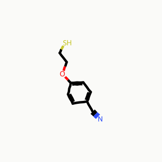 N#Cc1ccc(OCCS)cc1